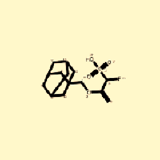 C=C(OCC12CC3CC(CC(C3)C1)C2)C(F)S(=O)(=O)O